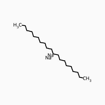 CCCCCCCCCCCCCCCCCCCC.[Na].[Na]